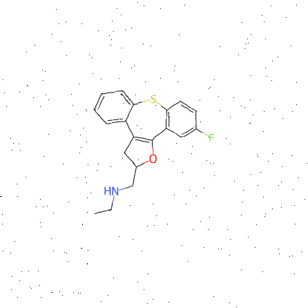 CCNCC1CC2=C(O1)c1cc(F)ccc1Sc1ccccc12